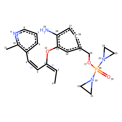 C/C=C(\C=C/c1cccnc1C)Oc1cc(COP(=O)(N2CC2)N2CC2)ccc1N